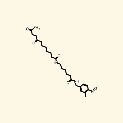 Cc1cc(CNC(=O)CCCCCNC(=O)CCCCCCC(=O)CCC(=O)P)ccc1N=O